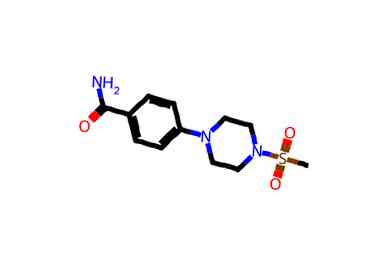 CS(=O)(=O)N1CCN(c2ccc(C(N)=O)cc2)CC1